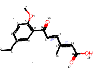 CCc1ccc(OC)c(C(=O)/C=C/C(C)=C/C(=O)O)c1